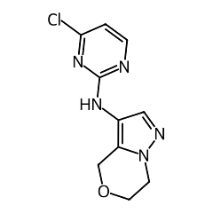 Clc1ccnc(Nc2cnn3c2COCC3)n1